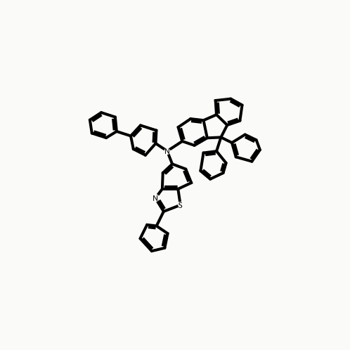 c1ccc(-c2ccc(N(c3ccc4c(c3)C(c3ccccc3)(c3ccccc3)c3ccccc3-4)c3ccc4sc(-c5ccccc5)nc4c3)cc2)cc1